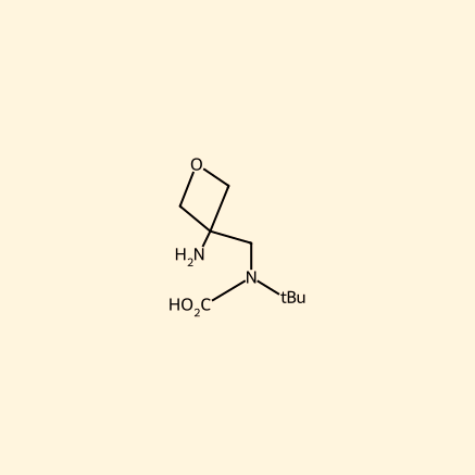 CC(C)(C)N(CC1(N)COC1)C(=O)O